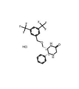 Cl.O=C1CN[C@H](c2ccccc2)[C@H](COCc2cc(C(F)(F)F)cc(C(F)(F)F)c2)N1